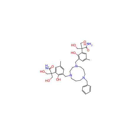 Cc1cc(CN2CCCN(Cc3ccccc3)CCCN(Cc3cc(C)cc(C(CO)(CO)C(N)=O)c3O)CC2)c(O)c(C(CO)(CO)C(N)=O)c1